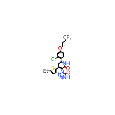 CCc1ccc(C2=C(n3nn[nH]c3=O)C(=O)N[C@H](c3ccc(OCCCC(F)(F)F)cc3Cl)C2)s1